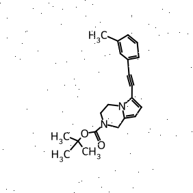 Cc1cccc(C#Cc2ccc3n2CCN(C(=O)OC(C)(C)C)C3)c1